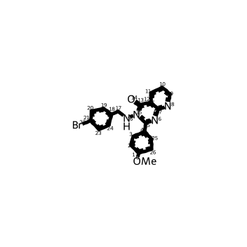 COc1ccc(-c2nc3ncccc3c(=O)n2NCc2ccc(Br)cc2)cc1